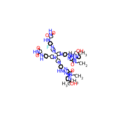 C=CCn1c(=O)c2cnc(Nc3ccc(N4CCC(C(C5CN(c6ccc(Nc7ncc8c(=O)n(CC=C)n(-c9cccc(C(C)(C)O)n9)c8n7)cc6)CCC5CN5CCN(c6ccc(N[C@@H]7CCC(=O)NC7=O)cc6F)CC5)N5CCC(c6ccc(NC7CCC(=O)NC7=O)cc6)CC5)CC4)cc3)nc2n1-c1cccc(C(C)(C)O)n1